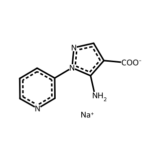 Nc1c(C(=O)[O-])cnn1-c1cccnc1.[Na+]